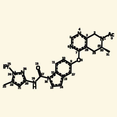 CC(=O)N1Cc2ncnc(Oc3ccc4c(ccn4C(=O)Nc4cc(C)n(C(C)C)n4)c3)c2C[C@@H]1C